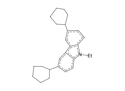 CCn1c2ccc(C3CCCCC3)cc2c2cc(C3CCCCC3)ccc21